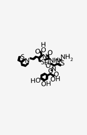 Nc1nc(/C(=N/OC(C(=O)O)c2ccc(O)c(O)c2)C(=O)N[C@@H]2C(=O)N3C(C(=O)O)=C(/C=C/C[n+]4cccc5ccsc54)CS[C@@H]23)cs1